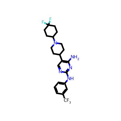 Nc1nc(Nc2cccc(C(F)(F)F)c2)ncc1C1CCN(C2CCC(F)(F)CC2)CC1